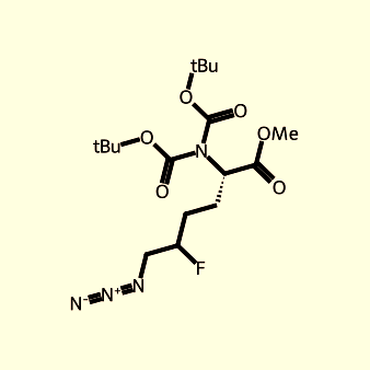 COC(=O)[C@H](CCC(F)CN=[N+]=[N-])N(C(=O)OC(C)(C)C)C(=O)OC(C)(C)C